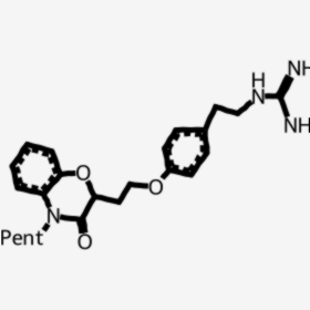 CCCCCN1C(=O)C(CCOc2ccc(CCNC(=N)N)cc2)Oc2ccccc21